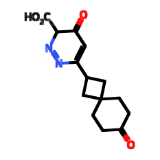 O=C1CCC2(CC1)CC(C1=CC(=O)C(C(=O)O)N=N1)C2